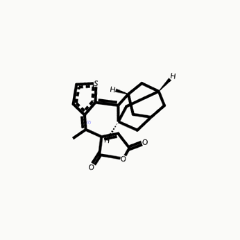 C/C(C1=CC(=O)OC1=O)=c1\ccsc1=C1[C@H]2CC3C[C@@H](C2)C[C@H]1C3